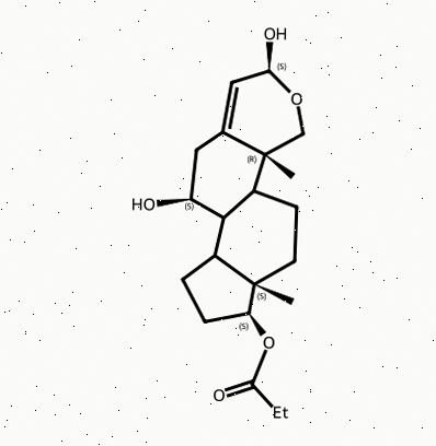 CCC(=O)O[C@H]1CCC2C3C(CC[C@@]21C)[C@@]1(C)CO[C@H](O)C=C1C[C@@H]3O